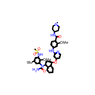 COc1cc(Nc2cc(Oc3ccc(N(C(N)=O)c4cc(C(C)(C)C)cc(NS(C)(=O)=O)c4OC)c4ccccc34)ccn2)ccc1C(=O)NC1CCN(C)CC1